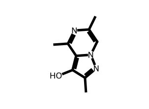 Cc1cn2nc(C)c(O)c2c(C)n1